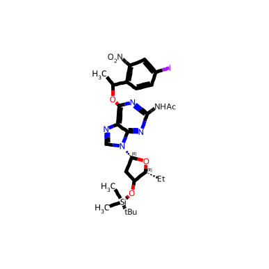 CC[C@H]1O[C@@H](n2cnc3c(OC(C)c4ccc(I)cc4[N+](=O)[O-])nc(NC(C)=O)nc32)CC1O[Si](C)(C)C(C)(C)C